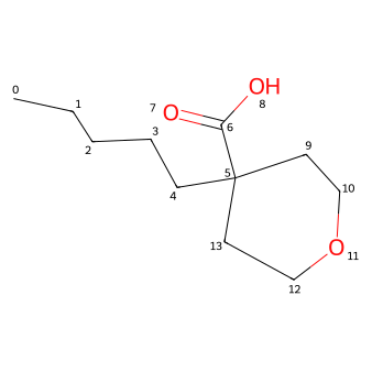 CCCCCC1(C(=O)O)CCOCC1